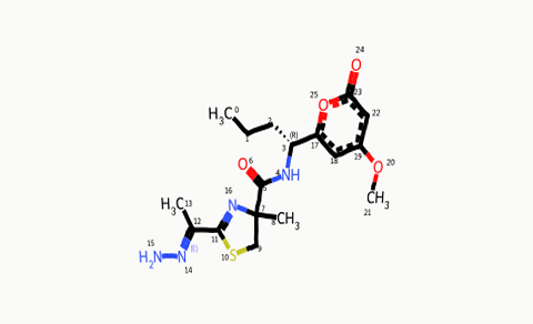 CCC[C@@H](NC(=O)C1(C)CSC(/C(C)=N/N)=N1)c1cc(OC)cc(=O)o1